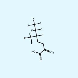 C=C(CCC(F)(C(F)(F)F)C(F)(F)C(F)(F)F)C(=O)O